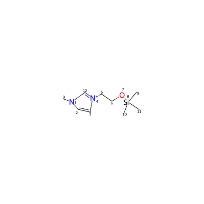 Cn1cc[n+](CCO[Si](C)(C)C)c1